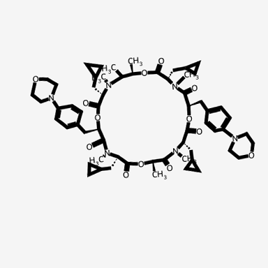 CC1[C@@H](C)OC(=O)[C@H](CC2CC2)N(C)C(=O)[C@@H](Cc2ccc(N3CCOCC3)cc2)OC(=O)[C@H](CC2CC2)N(C)C(=O)[C@@H](C)OC(=O)[C@H](CC2CC2)N(C)C(=O)[C@@H](Cc2ccc(N3CCOCC3)cc2)OC(=O)[C@H](CC2CC2)N1C